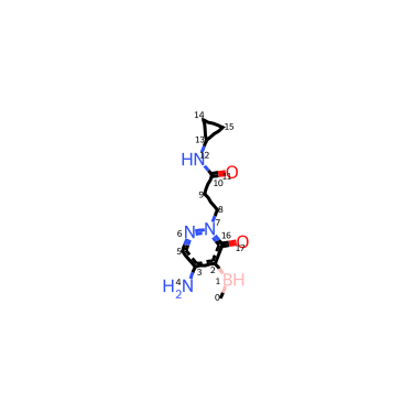 CBc1c(N)cnn(CCC(=O)NC2CC2)c1=O